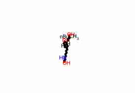 CCCC[C@](C)(O)C/C=C/[C@@H]1[C@H]2CC(CCCCCNCCO)=C[C@H]2C[C@H]1O